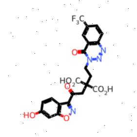 O=C(CC(CCn1nnc2ccc(C(F)(F)F)cc2c1=O)(C(=O)O)C(=O)O)c1noc2cc(O)ccc12